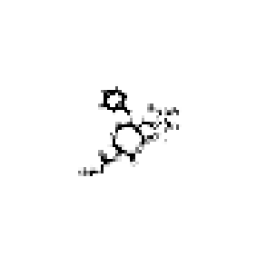 CC(C)[Si](OC[C@@H]1[C@@H](Cc2ccccc2)COC[C@H](NC(=O)OC(C)(C)C)C(=O)O[C@H]1C)(C(C)C)C(C)C